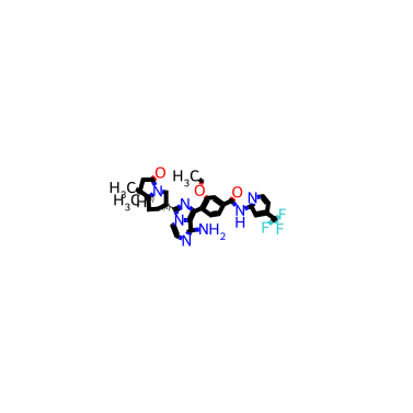 CCOc1cc(C(=O)Nc2cc(C(F)(F)F)ccn2)ccc1-c1nc([C@@H]2CC[C@@H]3N(C2)C(=O)CC3(C)C)n2ccnc(N)c12